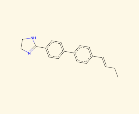 CCC=Cc1ccc(-c2ccc(C3=NCCN3)cc2)cc1